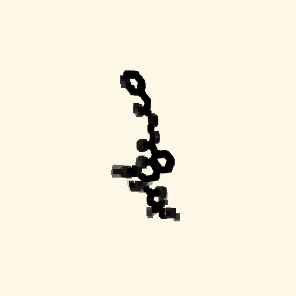 CC(F)(F)CC(=O)N[C@H]1Cc2cccc(C(=O)OCOC(=O)Cc3cccnc3)c2OB1O